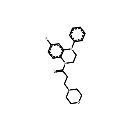 O=C(CCN1CCOCC1)N1CCN(c2ccccc2)c2cc(F)ccc21